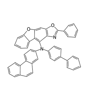 c1ccc(-c2ccc(N(c3ccc4c(ccc5ccccc54)c3)c3c4nc(-c5ccccc5)oc4cc4oc5ccccc5c34)cc2)cc1